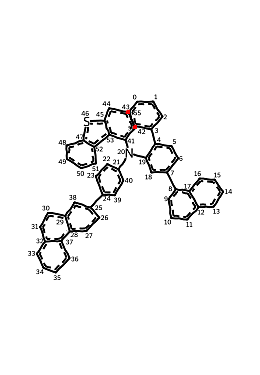 c1ccc(-c2ccc(-c3cccc4ccccc34)cc2N(c2ccc(-c3ccc4c(ccc5ccccc54)c3)cc2)c2cccc3sc4ccccc4c23)cc1